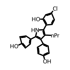 CCCc1c(-c2ccc(Cl)cc2O)[nH]c(-c2ccc(O)cc2)c1-c1ccc(O)cc1